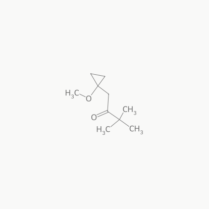 COC1(CC(=O)C(C)(C)C)CC1